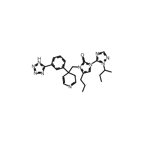 CCCc1cn(-c2ncnn2C(C)CC)c(=O)n1CC1(c2cccc(-c3nnn[nH]3)c2)C=CN=CC1